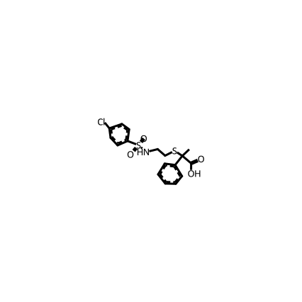 CC(SCCNS(=O)(=O)c1ccc(Cl)cc1)(C(=O)O)c1ccccc1